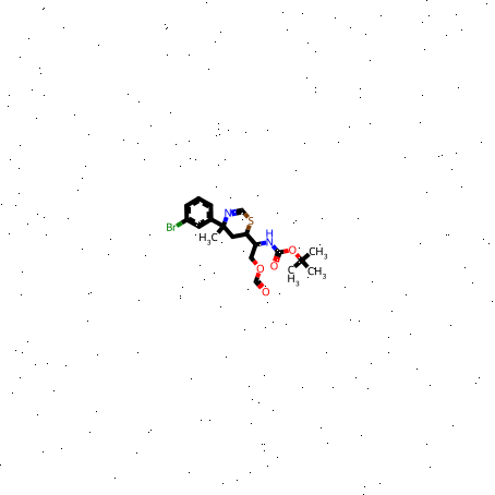 CC(C)(C)OC(=O)NC(COC=O)C1CC(C)(c2cccc(Br)c2)N=CS1